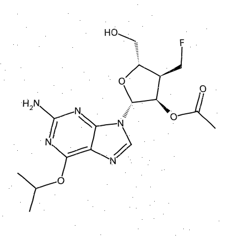 CC(=O)O[C@@H]1[C@H](CF)[C@@H](CO)O[C@H]1n1cnc2c(OC(C)C)nc(N)nc21